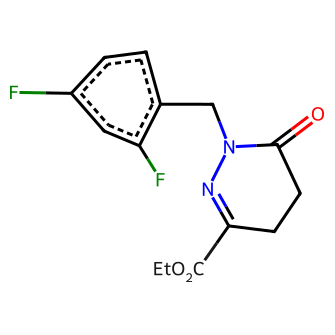 CCOC(=O)C1=NN(Cc2ccc(F)cc2F)C(=O)CC1